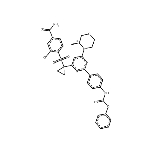 C[C@H]1COCCN1c1cc(C2(S(=O)(=O)c3ccc(C(N)=O)cc3Cl)CC2)nc(-c2ccc(NC(=O)Oc3ccccc3)cc2)n1